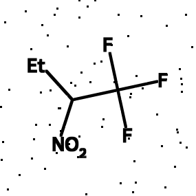 CCC([N+](=O)[O-])C(F)(F)F